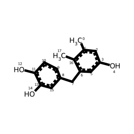 Cc1cc(O)cc(Cc2ccc(O)c(O)c2)c1C